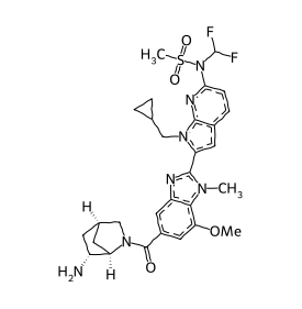 COc1cc(C(=O)N2C[C@@H]3C[C@@H](N)[C@H]2C3)cc2nc(-c3cc4ccc(N(C(F)F)S(C)(=O)=O)nc4n3CC3CC3)n(C)c12